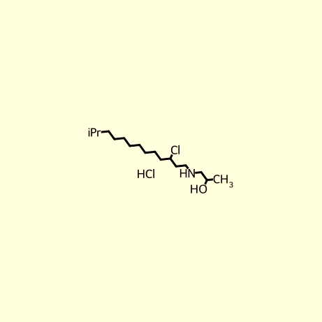 CC(C)CCCCCCCCC(Cl)CCNCC(C)O.Cl